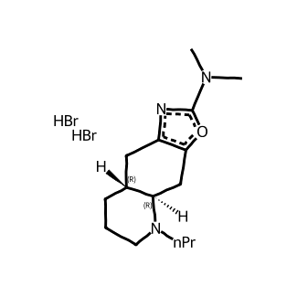 Br.Br.CCCN1CCC[C@@H]2Cc3nc(N(C)C)oc3C[C@H]21